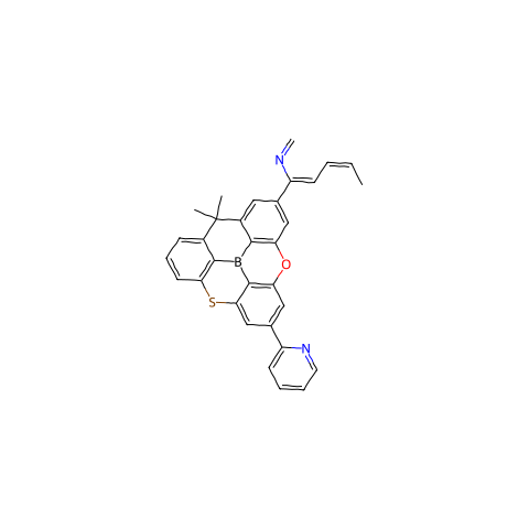 C=N/C(=C\C=C/C)c1cc2c3c(c1)C(C)(C)c1cccc4c1B3c1c(cc(-c3ccccn3)cc1S4)O2